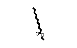 CCCCCCC=CCCC(=O)OCC